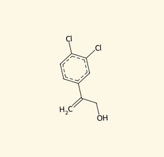 C=C(CO)c1ccc(Cl)c(Cl)c1